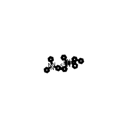 C1=Cc2c(c3c(-c4ccccc4)cccc3n2-c2nc(-c3ccccc3)nc(-c3cccc4c3sc3cc(-c5nc(-c6ccccc6)nc(-c6ccccc6)n5)ccc34)n2)CC1